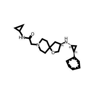 O=C(CN1CCC2(CC1)C[C@@H](N[C@@H]1C[C@H]1c1ccccc1)CO2)NC1CC1